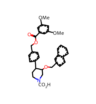 COc1cc(OC)cc(C(=O)OCc2ccc(C3CCN(C(=O)O)CC3OCc3ccc4ccccc4c3)cc2)c1